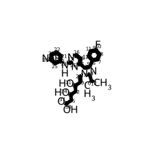 CC(C)c1nc(-c2ccc(F)cc2)c(-c2ccnc(Nc3ccccc3)n2)n1C=C[C@H](O)C[C@H](O)CC(=O)O.[NaH]